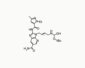 CCn1nc(C)cc1C(=O)Nc1nc2cc(C(N)=O)cnc2n1C/C=C/CNC(O)OC(C)(C)C